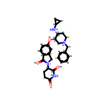 O=C1CCC(N2Cc3cc(O[C@@H]4CN(Cc5ccccc5)CC[C@H]4NC4CC4)ccc3C2=O)C(=O)N1